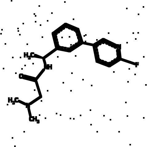 C[C@H](NC(=O)CN(C)C)c1cccc(-c2ccc(F)nc2)c1